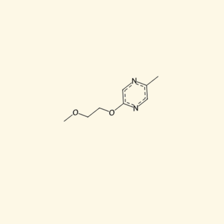 COCCOc1cnc(C)cn1